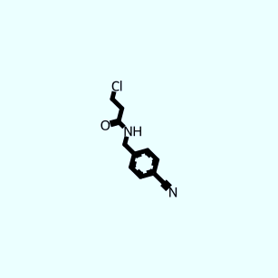 N#Cc1ccc(CNC(=O)CCCl)cc1